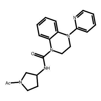 CC(=O)N1CCC(NC(=O)N2CCN(c3ccccn3)c3ccccc32)C1